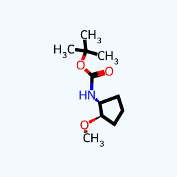 CO[C@@H]1CCC[C@@H]1NC(=O)OC(C)(C)C